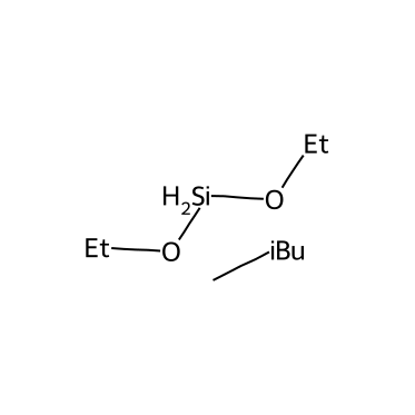 CCC(C)C.CCO[SiH2]OCC